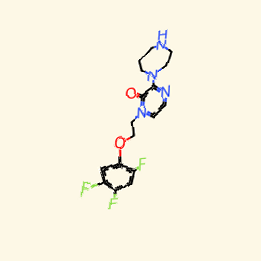 O=c1c(N2CCCNCC2)nccn1CCOc1cc(F)c(F)cc1F